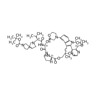 CCn1c(-c2cccnc2[C@H](C)OC)c2c3cc(ccc31)N1CCO[C@@H](C[C@H](NC(=O)[C@H](C(C)C)N3CC[C@]4(CCN(C(=O)OC(C)(C)C)C4)C3)C(=O)N3CCC[C@H](N3)C(=O)OCC(C)(C)C2)C1